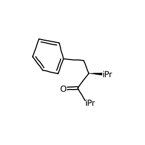 CC(C)C(=O)[C@@H](Cc1ccccc1)C(C)C